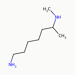 CNC(C)CCCCCN